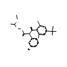 COC(C)OOC(=O)C(C(=O)c1c(C)cc(C(C)(C)C)cc1C)c1ccccc1.O=[PH3]